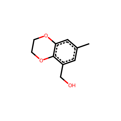 Cc1cc(CO)c2c(c1)OCCO2